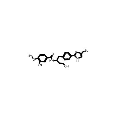 CC(C)Oc1ccc(C(=O)NC(CCO)Cc2ccc(-c3nc(C(C)(C)C)c[nH]3)cc2)cc1C#N